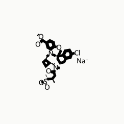 COC(=O)c1ccc2c(c1)N(C[C@@H]1CC[C@H]1CN(C)C(=O)C[C@@H](C)[C@@H](C)S(=O)[O-])C[C@@]1(CCCc3cc(Cl)ccc31)CO2.[Na+]